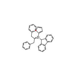 C1=CC[C]([Zr](=[C](Cc2ccccc2)Cc2ccccc2)[CH]2c3ccccc3-c3ccccc32)=C1